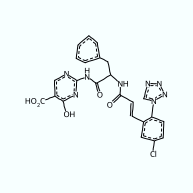 O=C(C=Cc1cc(Cl)ccc1-n1cnnn1)NC(Cc1ccccc1)C(=O)Nc1ncc(C(=O)O)c(O)n1